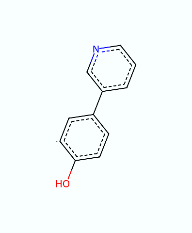 Oc1[c]cc(-c2cccnc2)cc1